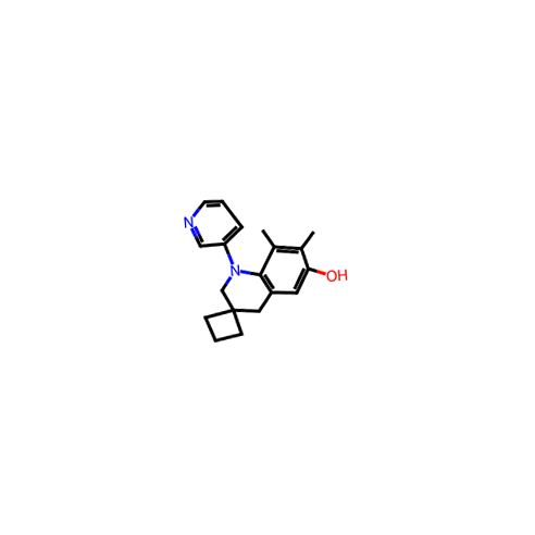 Cc1c(O)cc2c(c1C)N(c1cccnc1)CC1(CCC1)C2